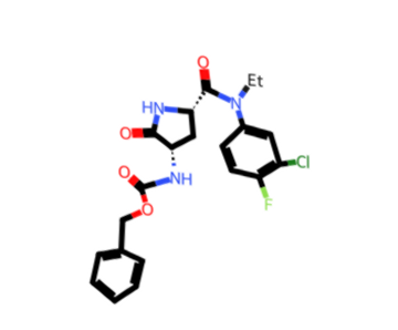 CCN(C(=O)[C@@H]1C[C@H](NC(=O)OCc2ccccc2)C(=O)N1)c1ccc(F)c(Cl)c1